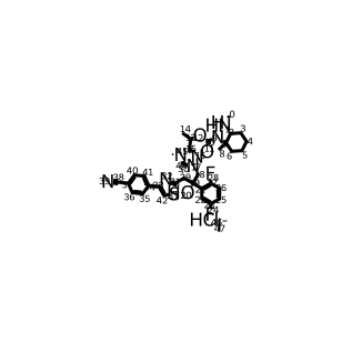 CNC1CCCCC1(C)NC(=O)OC(C)C1=NN(C[C@](O)(c2cc(F)ccc2F)[C@@H](C)c2nc(-c3ccc(C#N)cc3)cs2)C=[N+]1.Cl.[I-]